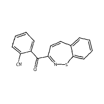 N#Cc1ccccc1C(=O)C1=NSc2ccccc2C=C1